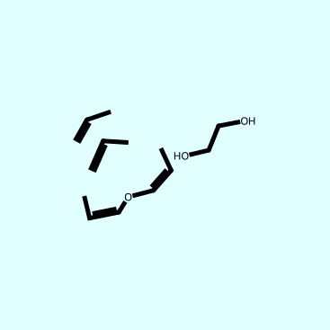 C/C=C\O/C=C\C.C=CC.C=CC.OCCO